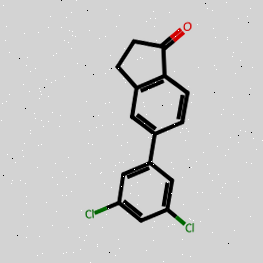 O=C1CCc2cc(-c3cc(Cl)cc(Cl)c3)ccc21